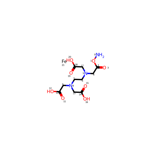 NOC(=O)CN(CCN(CC(=O)O)CC(=O)O)CC(=O)O.[Fe]